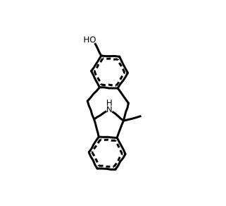 CC12Cc3ccc(O)cc3CC(N1)c1ccccc12